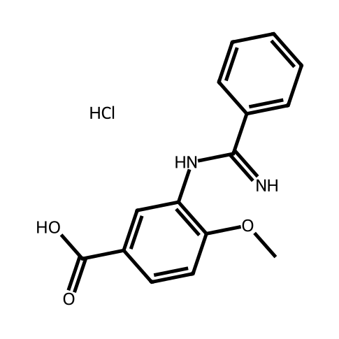 COc1ccc(C(=O)O)cc1NC(=N)c1ccccc1.Cl